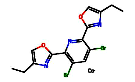 CCc1coc(-c2nc(-c3nc(CC)co3)c(Br)cc2Br)n1.[Co]